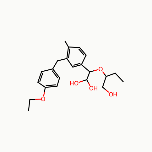 CCOc1ccc(Cc2cc(C(OC(CC)CO)C(O)O)ccc2C)cc1